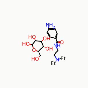 CCN(CC)CCNC(=O)c1ccc(N)cc1.OC[C@H]1OC(O)[C@H](O)[C@@H](O)[C@@H]1O